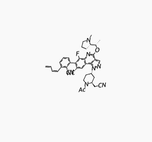 C=C/C=C\c1cccc(-c2c(C#N)cc3c(nc(O[C@@H](C)[C@@H]4CCCN4C)c4cnn([C@H]5CCN(C(C)=O)[C@H](CC#N)C5)c43)c2F)c1C#N